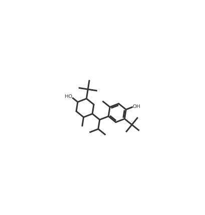 Cc1cc(O)c(C(C)(C)C)cc1C(C(C)C)C1CC(C(C)(C)C)C(O)CC1C